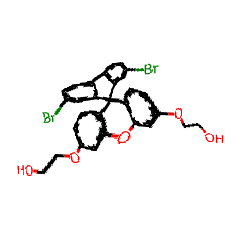 OCCOc1ccc2c(c1)Oc1cc(OCCO)ccc1C21c2cc(Br)ccc2-c2ccc(Br)cc21